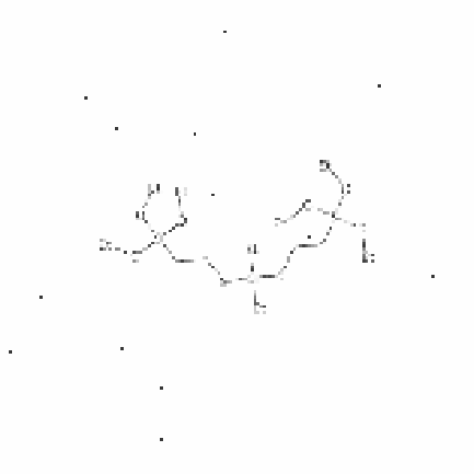 CCO[Si](CCS[Si](CC)(CC)SCC[Si](OCC)(OCC)OCC)(OCC)OCC